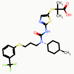 CC(C)(Sc1cnc(NC(=O)N(CCCSc2cccc(C(F)(F)F)c2)[C@H]2CC[C@H](C)CC2)s1)C(=O)O